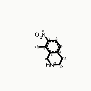 O=[N+]([O-])c1ccc2c(c1I)CNCC2